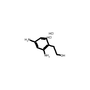 Cl.Cl.Nc1ccc(CCO)c(N)c1